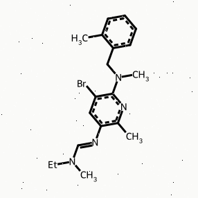 CCN(C)C=Nc1cc(Br)c(N(C)Cc2ccccc2C)nc1C